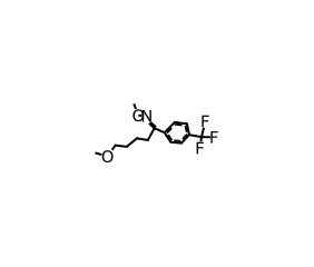 COCCCC/C(=N\OC)c1ccc(C(F)(F)F)cc1